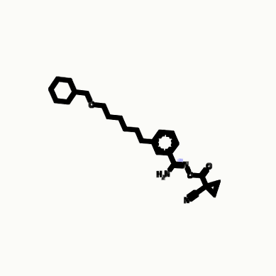 N#CC1(C(=O)O/N=C(\N)c2cccc(CCCCCCOCC3CCCCC3)c2)CC1